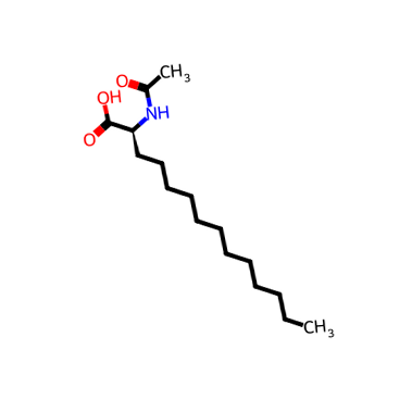 CCCCCCCCCCCC[C@H](NC(C)=O)C(=O)O